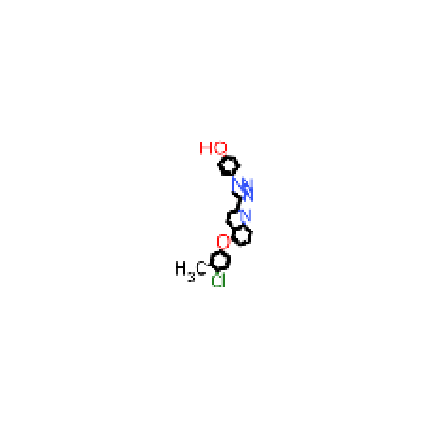 Cc1cc(Oc2cccc3nc(-c4cn(-c5ccc(O)cc5)nn4)ccc23)ccc1Cl